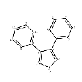 c1ccc(-c2csnc2-c2ccccc2)cc1